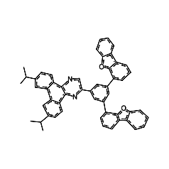 CC(C)c1ccc2c(c1)c1cc(C(C)C)ccc1c1nc(-c3cc(-c4cccc5c4oc4ccccc45)cc(-c4cccc5c4oc4ccccc45)c3)cnc21